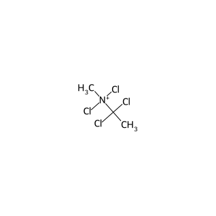 CC(Cl)(Cl)[N+](C)(Cl)Cl